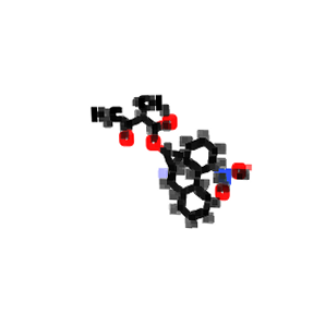 CC(=O)C(C)C(=O)OC1C/C1=C\c1ccccc1-c1ccccc1[N+](=O)[O-]